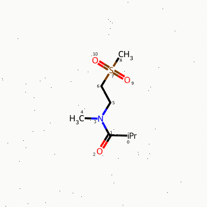 CC(C)C(=O)N(C)CCS(C)(=O)=O